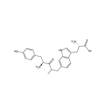 CC(Cc1ccc2c(C[C@H](N)C(=O)S)c[nH]c2c1)C(=O)[C@@H](N)Cc1ccc(O)cc1